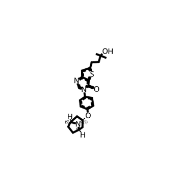 CN1[C@@H]2CC[C@H]1C[C@H](Oc1ccc(-n3cnc4cc(CCC(C)(C)O)sc4c3=O)cc1)C2